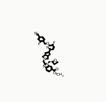 COC(=O)c1ccc2nc(CN3CC4C=C(c5ccc(F)c(OCc6ccc(C#N)cc6F)n5)CC4C3)n(C[C@@H]3CCO3)c2c1